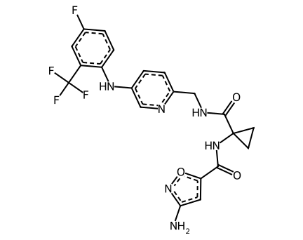 Nc1cc(C(=O)NC2(C(=O)NCc3ccc(Nc4ccc(F)cc4C(F)(F)F)cn3)CC2)on1